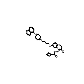 O=C(OCN1C(=O)CCc2ccc(OCCCCN3CCN(c4cccc5sccc45)CC3)cc21)C1CCC1